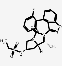 CCS(=O)(=O)N[C@H]1C[C@H]2[C@@H](C)N(c3noc4cccc(-c5c(F)cccc5F)c34)C(=O)N2C1